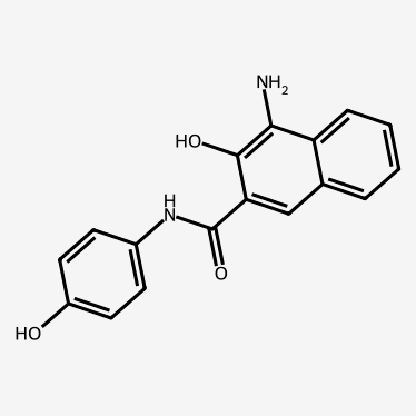 Nc1c(O)c(C(=O)Nc2ccc(O)cc2)cc2ccccc12